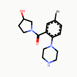 CC(C)c1ccc(N2CCNCC2)c(C(=O)N2CCC(O)C2)c1